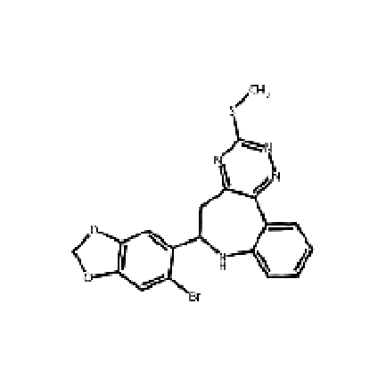 CSc1nnc2c(n1)CC(c1cc3c(cc1Br)OCO3)Nc1ccccc1-2